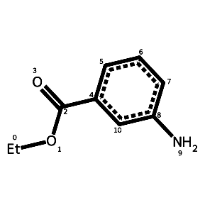 CCOC(=O)c1c[c]cc(N)c1